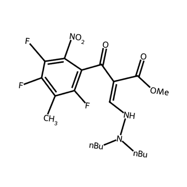 CCCCN(CCCC)NC=C(C(=O)OC)C(=O)c1c(F)c(C)c(F)c(F)c1[N+](=O)[O-]